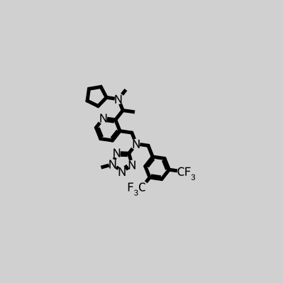 CC(c1ncccc1CN(Cc1cc(C(F)(F)F)cc(C(F)(F)F)c1)c1nnn(C)n1)N(C)C1CCCC1